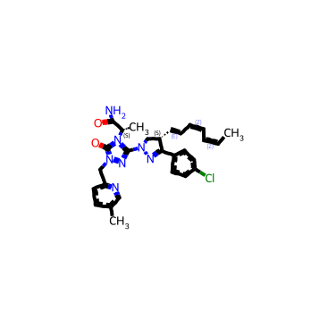 C\C=C/C=C\C=C\[C@H]1CN(c2nn(Cc3ccc(C)cn3)c(=O)n2[C@@H](C)C(N)=O)N=C1c1ccc(Cl)cc1